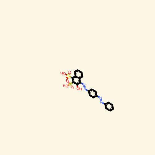 O=S(=O)(O)c1c(O)c(N=Nc2ccc(N=Nc3ccccc3)cc2)c2ccccc2c1S(=O)(=O)O